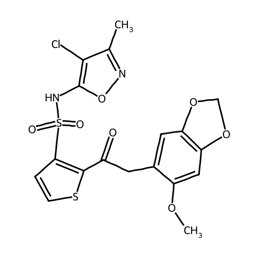 COc1cc2c(cc1CC(=O)c1sccc1S(=O)(=O)Nc1onc(C)c1Cl)OCO2